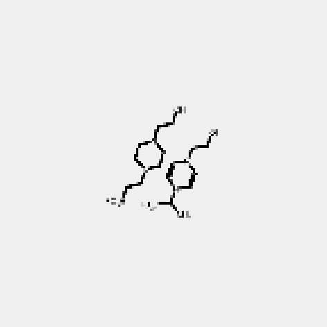 CC(N1C=CN(CCO)C=C1)S(=O)(=O)O.O=S(=O)(O)CCN1CCN(CCO)CC1